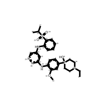 CCN1CC[P](O)(c2ccc(Nc3cc(Nc4ccccc4S(=O)(=O)C(C)C)cnn3)c(OC)c2)CC1